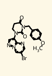 COc1ccc(CN2C(=O)CCN(c3cnn4cc(Br)cnc34)C2=O)cc1